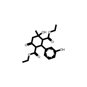 CCOC(=O)C1C(=O)CC(C)(O)C(C(=O)OCC)C1c1cccc(O)c1